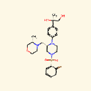 C[C@H]1COCCN1C[C@H]1CN(S(=O)(=O)C2=CC=CCC2=S)CCN1c1ccc([C@@](O)(CO)C(F)(F)F)cc1